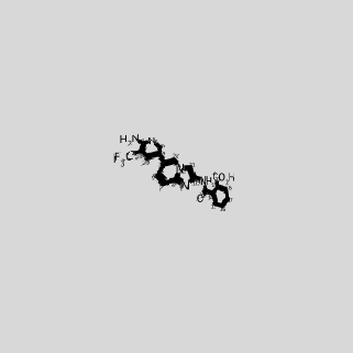 Nc1ncc(-c2ccc3nc(NC(=O)c4ccccc4C(=O)O)cn3c2)cc1C(F)(F)F